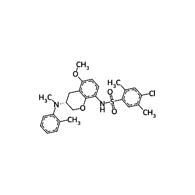 COc1ccc(NS(=O)(=O)c2cc(C)c(Cl)cc2C)c2c1C[C@@H](N(C)c1ccccc1C)CO2